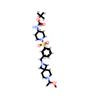 COC(C)N1CCC2(CC1)CN(Cc1cccc(S(=O)(=O)N3CCC(NC(=O)OC(C)(C)C)CC3)c1)C2